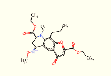 CCCc1c2c(cc3c(=O)cc(C(=O)OCC)oc13)/C(=N/OC)CC(C(=O)OCC)N2CC